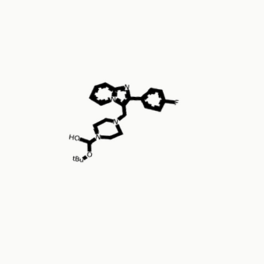 CC(C)(C)OC(O)N1CCN(Cc2c(-c3ccc(F)cc3)nc3ccccn23)CC1